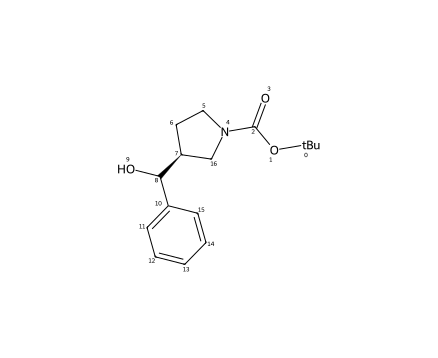 CC(C)(C)OC(=O)N1CC[C@H](C(O)c2ccccc2)C1